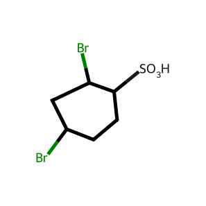 O=S(=O)(O)C1CCC(Br)CC1Br